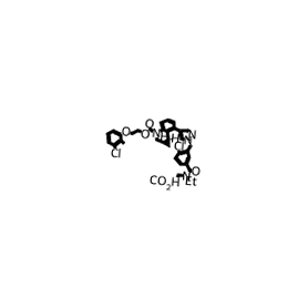 CCN(CC(=O)O)C(=O)c1ccc(Cl)c(Cn2cc(-c3cccc4c3[C@H]3C[C@H]3CN4C(=O)OCCOc3cccc(Cl)c3C)cn2)c1